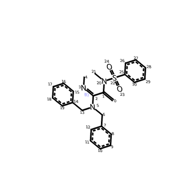 C=C(/C(=N\C)N(Cc1ccccc1)Cc1ccccc1)N(C)S(=O)(=O)c1ccccc1